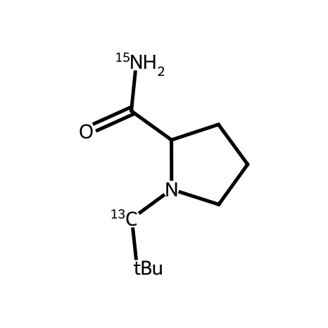 CC(C)(C)[13CH2]N1CCCC1C([15NH2])=O